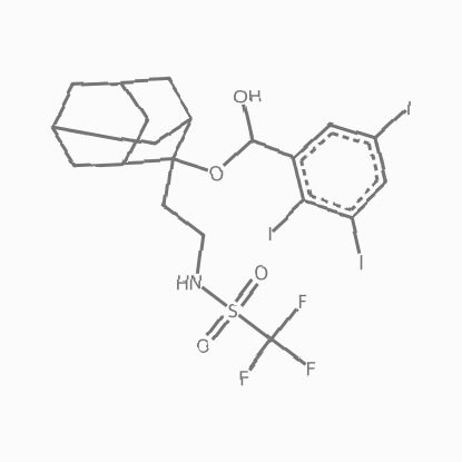 O=S(=O)(NCCC1(OC(O)c2cc(I)cc(I)c2I)C2CC3CC(C2)CC1C3)C(F)(F)F